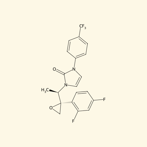 C[C@@H](n1ccn(-c2ccc(C(F)(F)F)cc2)c1=O)[C@@]1(c2ccc(F)cc2F)CO1